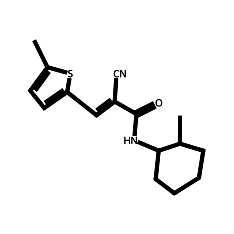 Cc1ccc(C=C(C#N)C(=O)NC2CCCCC2C)s1